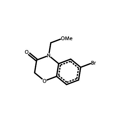 COCN1C(=O)COc2ccc(Br)cc21